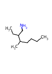 CCCCC(C)C(CC)CN